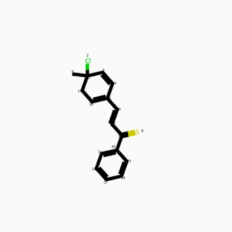 CC1(Cl)C=CC(C=CC(=S)c2ccccc2)=CC1